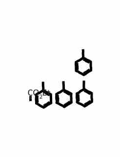 CCOC(C)=O.Cc1ccccc1.Cc1ccccc1.Cc1ccccc1.Cc1ccccc1